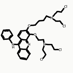 ClCCN(CCCl)CCCCOc1ccc2c(Nc3ccccc3)c3ccccc3nc2c1OCCN(CCCl)CCCl